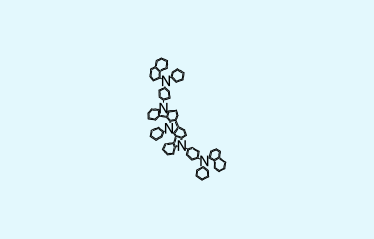 c1ccc(N(c2ccc(-n3c4ccccc4c4c3ccc3c5ccc6c(c7ccccc7n6-c6ccc(N(c7ccccc7)c7cccc8ccccc78)cc6)c5n(-c5ccccc5)c34)cc2)c2cccc3ccccc23)cc1